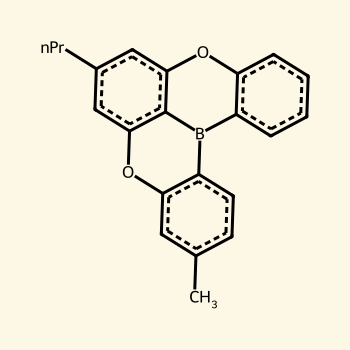 CCCc1cc2c3c(c1)Oc1cc(C)ccc1B3c1ccccc1O2